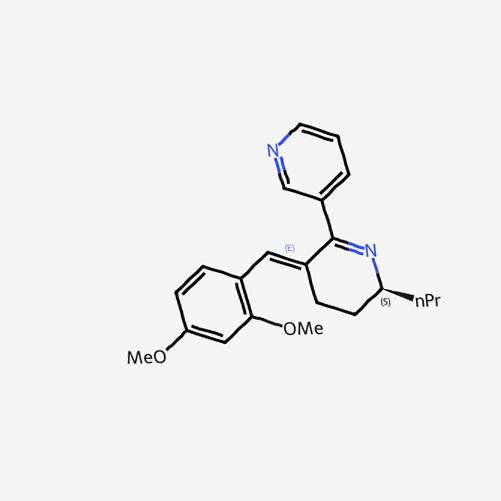 CCC[C@H]1CC/C(=C\c2ccc(OC)cc2OC)C(c2cccnc2)=N1